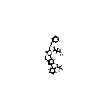 CC(C)(N)C(=O)N[C@H](COCc1ccccc1)C(=O)N1CCc2cc(-c3ccccc3NS(C)(=O)=O)ccc2C1.Cl